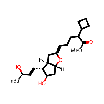 CCCC[C@@H](O)/C=C/[C@@H]1[C@H]2C/C(=C/CCC(C(=O)OC)C3CCC3)O[C@@H]2C[C@H]1O